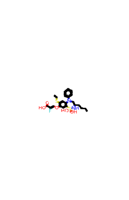 CCCCC1CN(c2ccccc2)c2cc(SCC)c(O/C=C(\F)C(=O)O)cc2S(O)(O)N1